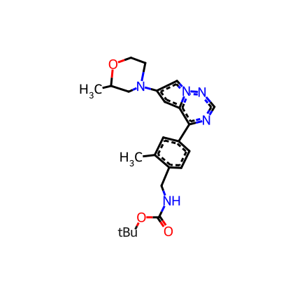 Cc1cc(-c2ncnn3cc(N4CCOC(C)C4)cc23)ccc1CNC(=O)OC(C)(C)C